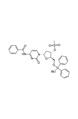 CC(C)(C)[Si](OC[C@H]1O[C@H](n2ccc(NC(=O)c3ccccc3)nc2=O)C[C@@H]1OS(C)(=O)=O)(c1ccccc1)c1ccccc1